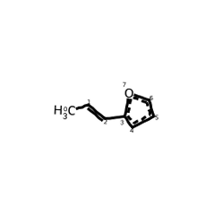 C/C=C/c1ccco1